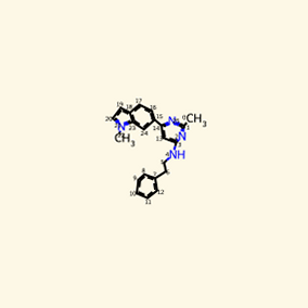 Cc1nc(NCCc2ccccc2)cc(-c2ccc3ccn(C)c3c2)n1